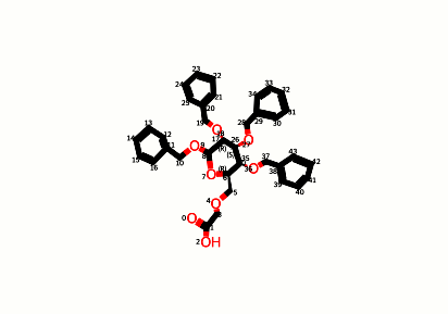 O=C(O)COC[C@H]1OC(OCc2ccccc2)[C@H](OCc2ccccc2)[C@@H](OCc2ccccc2)[C@@H]1OCc1ccccc1